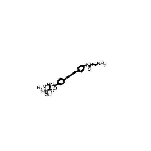 NCCC(=O)Nc1ccc(C#CC#Cc2ccc(C(=O)N[C@@H](CN)C(=O)NO)cc2)cc1